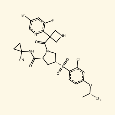 C[C@H](Oc1ccc(S(=O)(=O)[C@@H]2C[C@@H](C(=O)NC3(C#N)CC3)N(C(=O)C3(c4ncc(Br)cc4F)CNC3)C2)c(Cl)c1)C(F)(F)F